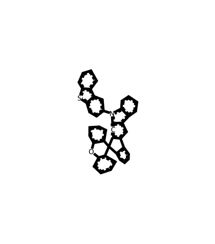 c1ccc2c(c1)Oc1ccccc1C21c2ccccc2-c2cc3c4ccccc4n(-c4ccc5sc6ccccc6c5c4)c3cc21